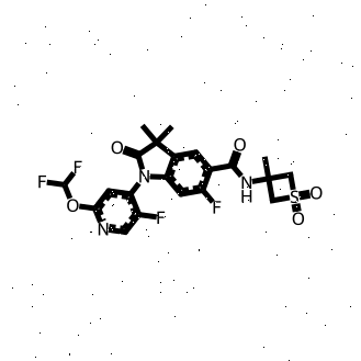 CC1(NC(=O)c2cc3c(cc2F)N(c2cc(OC(F)F)ncc2F)C(=O)C3(C)C)CS(=O)(=O)C1